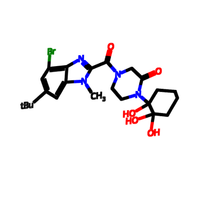 Cn1c(C(=O)N2CCN(C3(O)CCCCC3(O)O)C(=O)C2)nc2c(Br)cc(C(C)(C)C)cc21